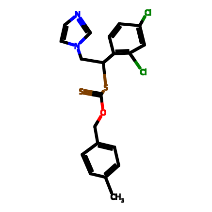 Cc1ccc(COC(=S)SC(Cn2ccnc2)c2ccc(Cl)cc2Cl)cc1